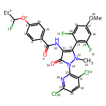 CCC(F)Oc1ccc(C(=O)Nc2c(-c3c(F)cc(OC)cc3F)n(C)n(-c3nc(Cl)ccc3Cl)c2=O)cc1